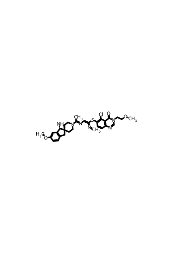 C=N/C(=C\N=C(/C)N1CCC2(CC1)Cc1ccc(OC)cc1[C@H]2N)Sc1ccc2ncn(CCOC)c(=O)c2c1Cl